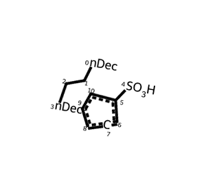 CCCCCCCCCCCCCCCCCCCCCC.O=S(=O)(O)c1ccccc1